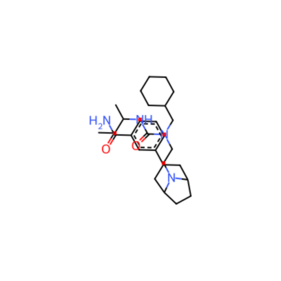 CCC(C)NC(=O)N(CCN1C2CCC1CC(c1cccc(C(N)=O)c1)C2)CC1CCCCC1